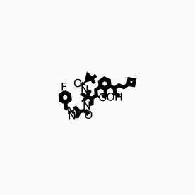 CCC(CCC1CCC1)c1cccc(C[C@@H](C)C2CN(C(=O)c3cnn(Cc4ccc(F)cc4)c3)CC23CN(C(=O)[C@H]2CC2(C)C)C3)c1C(=O)O